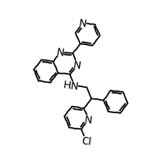 Clc1cccc(C(CNc2nc(-c3cccnc3)nc3ccccc23)c2ccccc2)n1